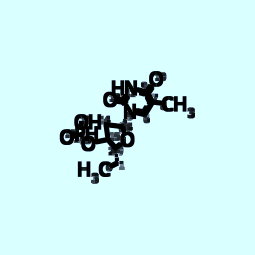 CC[C@H]1O[C@@H](n2cc(C)c(=O)[nH]c2=O)CC1O[PH](=O)O